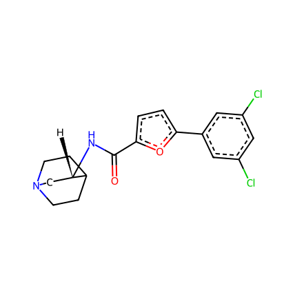 O=C(N[C@H]1CN2CCC1CC2)c1ccc(-c2cc(Cl)cc(Cl)c2)o1